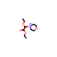 C1COCCN1.CCOC(=O)C(=O)OCC